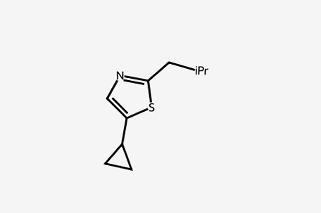 CC(C)Cc1ncc([C]2CC2)s1